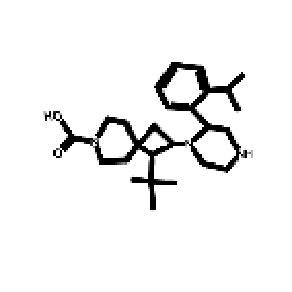 CC(C)c1ccccc1C1CNCCN1C1CC2(CCN(C(=O)O)CC2)C1C(C)(C)C